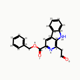 O=CCc1nc(C(=O)OCc2ccccc2)cc2c1[nH]c1ccccc12